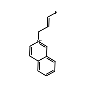 FC=CC[n+]1ccc2ccccc2c1